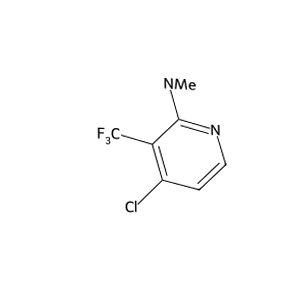 CNc1nccc(Cl)c1C(F)(F)F